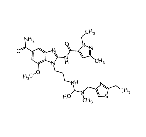 CCc1nc(CN(C)C(O)NCCCn2c(NC(=O)c3cc(C)nn3CC)nc3cc(C(N)=O)cc(OC)c32)cs1